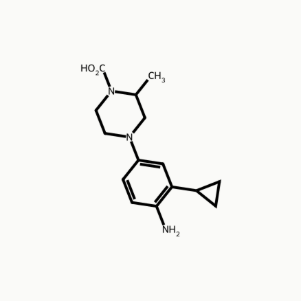 CC1CN(c2ccc(N)c(C3CC3)c2)CCN1C(=O)O